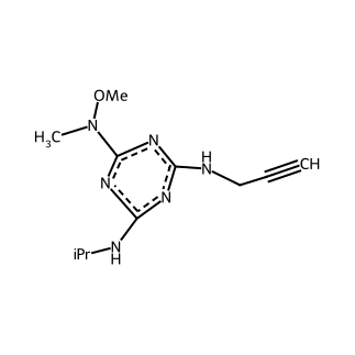 C#CCNc1nc(NC(C)C)nc(N(C)OC)n1